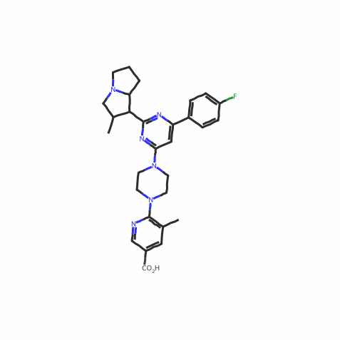 Cc1cc(C(=O)O)cnc1N1CCN(c2cc(-c3ccc(F)cc3)nc(C3C(C)CN4CCCC34)n2)CC1